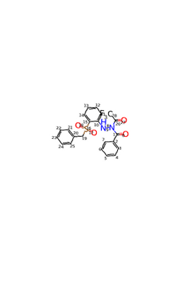 O=C(c1ccccc1)N(Nc1ccccc1S(=O)(=O)Cc1ccccc1)C(=O)C(F)(F)F